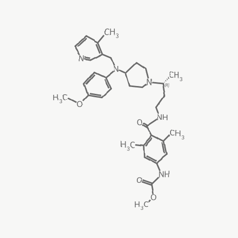 COC(=O)Nc1cc(C)c(C(=O)NCC[C@@H](C)N2CCC(N(Cc3cnccc3C)c3ccc(OC)cc3)CC2)c(C)c1